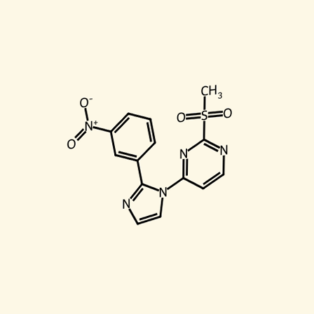 CS(=O)(=O)c1nccc(-n2ccnc2-c2cccc([N+](=O)[O-])c2)n1